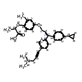 Cc1cc(OC/C=C(\c2ccc(C#CCN(C)C)cc2)c2ccc(C3CC3)cc2)ccc1OC(C)C(=O)O